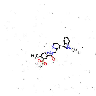 Cc1ccc(C(=O)NCc2cc(-c3cn(C)c4ccccc34)ccn2)cc1S(C)(=O)=O